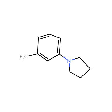 FC(F)(F)c1cccc(N2C[CH]CC2)c1